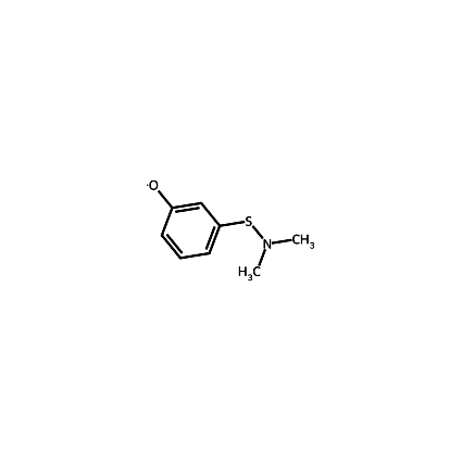 CN(C)Sc1cccc([O])c1